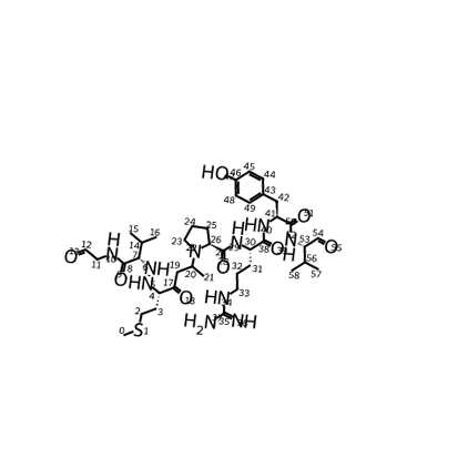 CSCC[C@H](NN[C@H](C(=O)NCC=O)C(C)C)C(=O)CC(C)N1CCC[C@H]1C(=O)N[C@@H](CCCNC(=N)N)C(=O)N[C@@H](Cc1ccc(O)cc1)C(=O)N[C@H](C=O)C(C)C